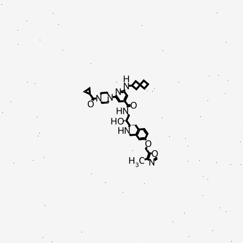 Cc1ncoc1COc1ccc2c(c1)CN[C@H]([C@H](O)CNC(=O)c1cc(NC3CC4(CCC4)C3)nc(N3CCN(C(=O)C4CC4)CC3)c1)C2